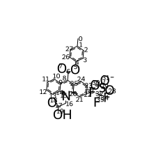 Cc1ccc(OC(=O)c2c3ccccc3[n+](CC(=O)O)c3ccccc23)cc1.O=S(=O)([O-])C(F)(F)F